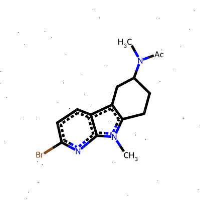 CC(=O)N(C)C1CCc2c(c3ccc(Br)nc3n2C)C1